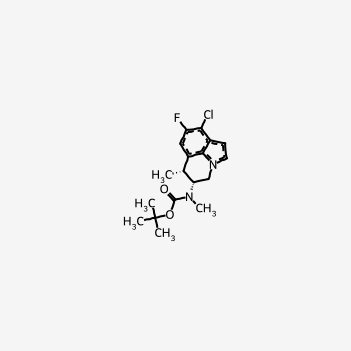 C[C@@H]1c2cc(F)c(Cl)c3ccn(c23)C[C@@H]1N(C)C(=O)OC(C)(C)C